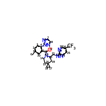 Cc1ccc(-n2nccn2)c(C(=O)N2CCC3(CC3)CC2CNc2ccc(C(F)(F)F)cn2)c1